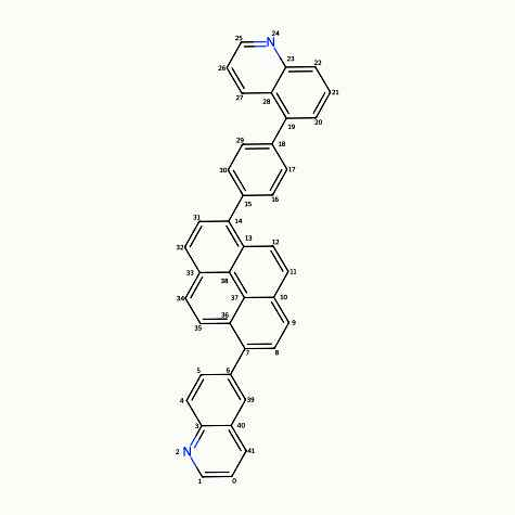 c1cnc2ccc(-c3ccc4ccc5c(-c6ccc(-c7cccc8ncccc78)cc6)ccc6ccc3c4c65)cc2c1